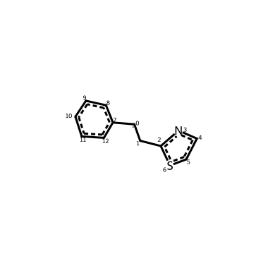 [C](Cc1nccs1)c1ccccc1